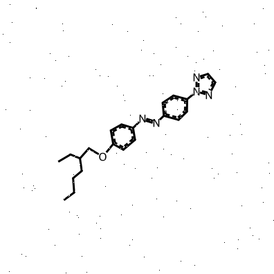 CCCCC(CC)COc1ccc(/N=N/c2ccc(-n3nccn3)cc2)cc1